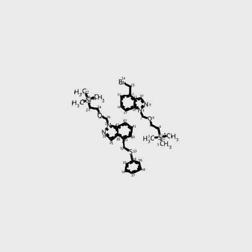 C[Si](C)(C)CCOCn1ncc2c(CBr)cccc21.C[Si](C)(C)CCOCn1ncc2c(CSc3ccccc3)cccc21